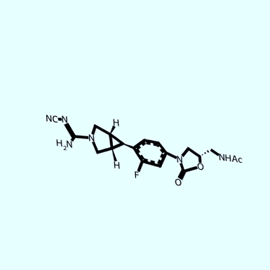 CC(=O)NC[C@H]1CN(c2ccc([C@H]3[C@@H]4CN(/C(N)=N/C#N)C[C@@H]43)c(F)c2)C(=O)O1